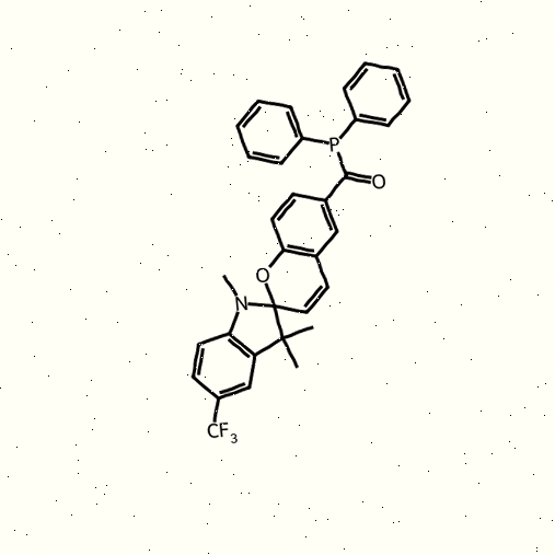 CN1c2ccc(C(F)(F)F)cc2C(C)(C)C12C=Cc1cc(C(=O)P(c3ccccc3)c3ccccc3)ccc1O2